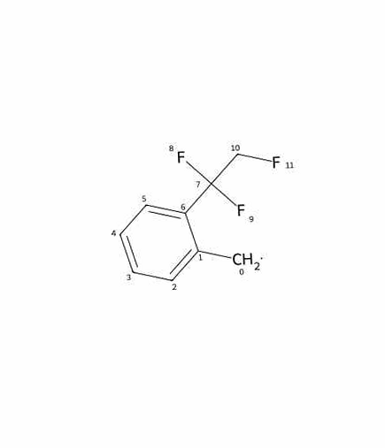 [CH2]c1ccccc1C(F)(F)CF